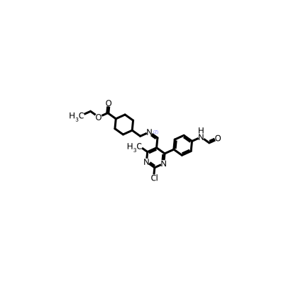 CCOC(=O)C1CCC(C/N=C\c2c(C)nc(Cl)nc2-c2ccc(NC=O)cc2)CC1